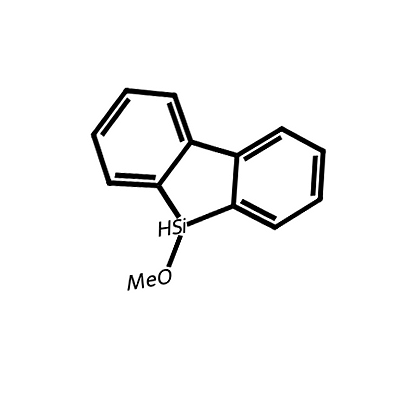 CO[SiH]1c2ccccc2-c2ccccc21